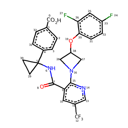 O=C(O)c1ccc(C2(NC(=O)c3cc(C(F)(F)F)cnc3N3CC(Oc4ccc(F)cc4F)C3)CC2)cc1